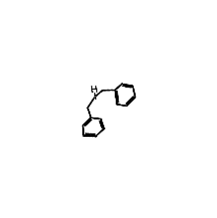 c1ccc(C[IH]Cc2ccccc2)cc1